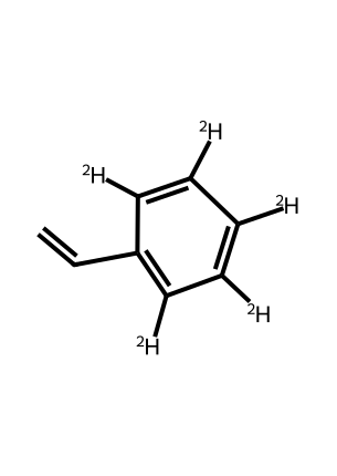 [2H]c1c([2H])c([2H])c(C=C)c([2H])c1[2H]